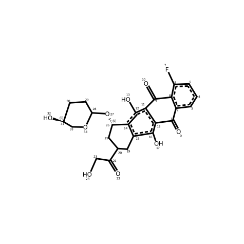 O=C1c2cccc(F)c2C(=O)c2c(O)c3c(c(O)c21)CC(C(=O)CO)C[C@@H]3OC1CC[C@H](O)CO1